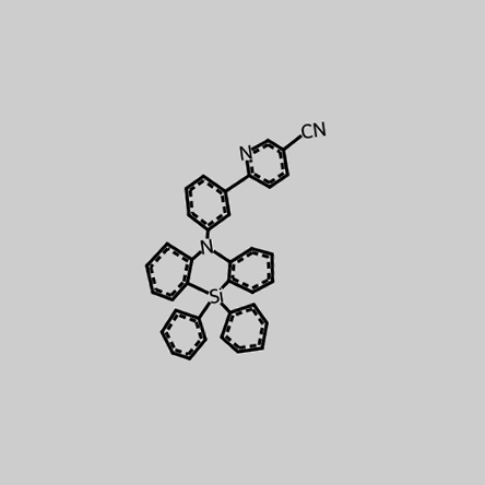 N#Cc1ccc(-c2cccc(N3c4ccccc4[Si](c4ccccc4)(c4ccccc4)c4ccccc43)c2)nc1